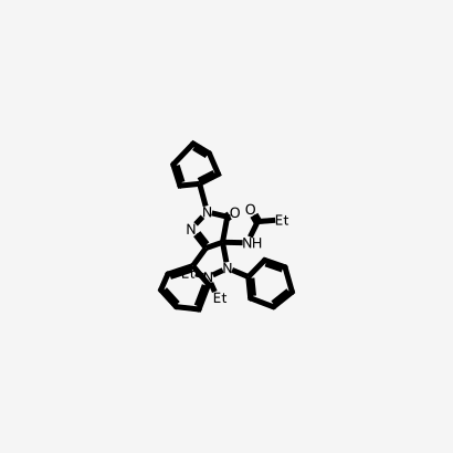 CCC(=O)NC1(N(c2ccccc2)N(CC)CC)C(=O)N(c2ccccc2)N=C1c1ccccc1